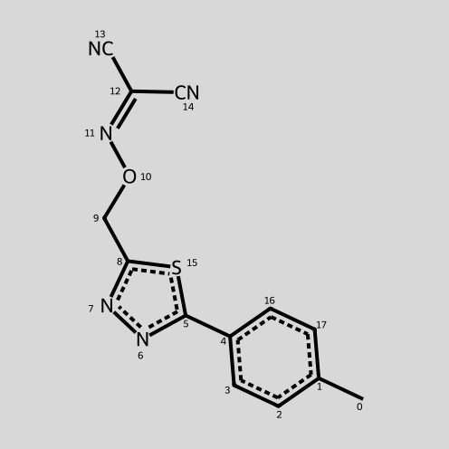 Cc1ccc(-c2nnc(CON=C(C#N)C#N)s2)cc1